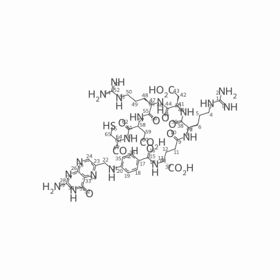 N=C(N)NCCC[C@@H](NC(=O)CC[C@@H](NC(=O)c1ccc(NCc2cnc3nc(N)[nH]c(=O)c3n2)cc1)C(=O)O)C(=O)N[C@H](CC(=O)O)C(=O)N[C@H](CCCNC(=N)N)C(=O)NC(CC(=O)O)C(=O)N[C@H](CS)C(=O)O